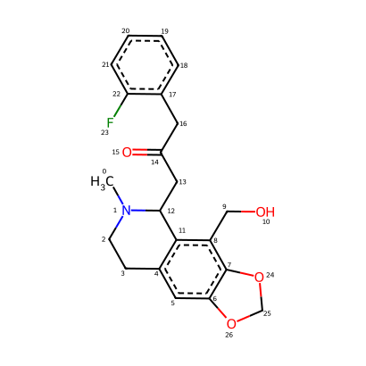 CN1CCc2cc3c(c(CO)c2C1CC(=O)Cc1ccccc1F)OCO3